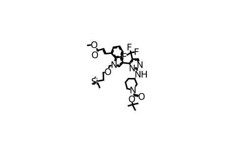 COC(=O)/C=C/c1cccc2c(-c3nc(N[C@H]4CCCN(C(=O)OC(C)(C)C)C4)ncc3C(F)(F)F)cn(COCC[Si](C)(C)C)c12